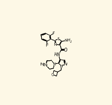 Nc1sc(-c2c(F)cccc2F)nc1C(=O)Nc1cnn(CC2COC2)c1N1CCNCC1